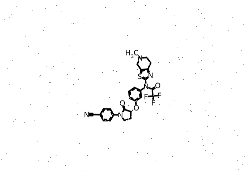 CN1CCc2nc(N(C(=O)C(F)(F)F)c3cccc(O[C@@H]4CCN(c5ccc(C#N)cc5)C4=O)c3)sc2C1